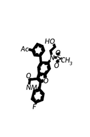 CNC(=O)c1c(-c2ccc(F)cc2)oc2cc(N(CCO)S(C)(=O)=O)c(-c3cccc(C(C)=O)c3)cc12